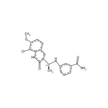 COc1ccc2cc([C@H](C)Nc3cccc(C(N)=O)c3)c(=O)[nH]c2c1Cl